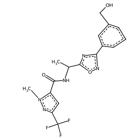 CC(NC(=O)c1cc(C(F)(F)F)nn1C)c1nc(-c2cccc(CO)c2)no1